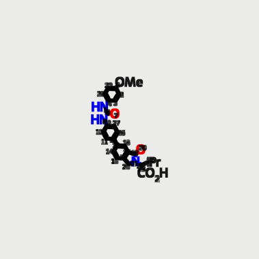 COc1ccc(NC(=O)Nc2ccc(-c3ccc4c(c3)C(=O)N([C@H](C(=O)O)C(C)C)C4)cc2)cc1